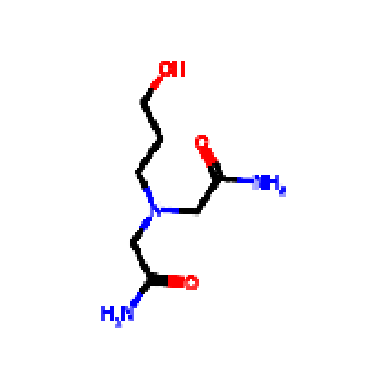 NC(=O)CN(CCCO)CC(N)=O